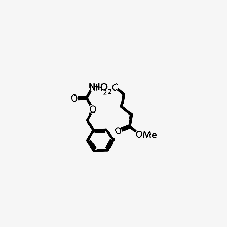 COC(=O)CCCC(=O)O.NC(=O)OCc1ccccc1